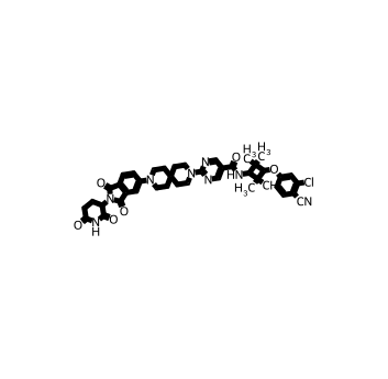 CC1(C)C(NC(=O)c2cnc(N3CCC4(CCN(c5ccc6c(c5)C(=O)N(C5CCC(=O)NC5=O)C6=O)CC4)CC3)nc2)C(C)(C)C1Oc1ccc(C#N)c(Cl)c1